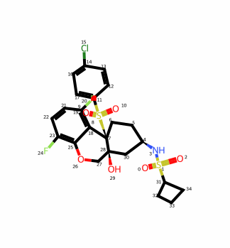 O=S(=O)(N[C@@H]1CC[C@@]2(S(=O)(=O)c3ccc(Cl)cc3)c3c(F)ccc(F)c3OC[C@@]2(O)C1)C1CCC1